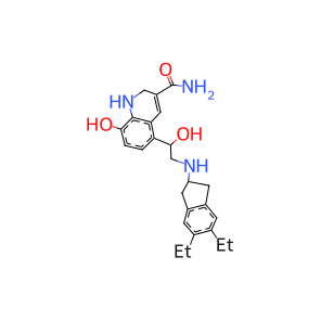 CCc1cc2c(cc1CC)CC(NCC(O)c1ccc(O)c3c1C=C(C(N)=O)CN3)C2